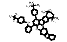 CC(C)(C)c1ccc(Nc2ccccc2-c2cc(-c3ccc(C(C)(C)C)cc3)c3c4cc5c(cc4n4c3c2Bc2cc3oc6ccccc6c3cc2-4)C(C)(C)CCC5(C)C)cc1